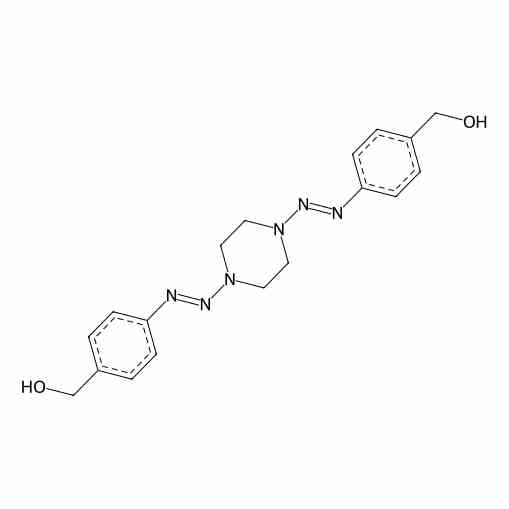 OCc1ccc(/N=N/N2CCN(/N=N/c3ccc(CO)cc3)CC2)cc1